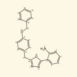 Nc1ncccc1-c1nnc(Cc2ccc(OCc3ccccn3)cc2)o1